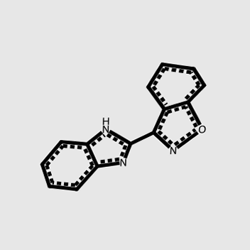 c1ccc2[nH]c(-c3noc4ccccc34)nc2c1